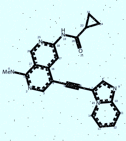 CNc1ncc(C#Cc2cnc3ccccn23)c2cc(NC(=O)C3CC3)ncc12